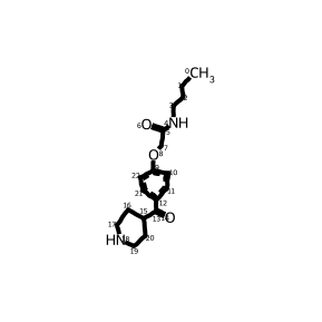 CCCCNC(=O)COc1ccc(C(=O)C2CCNCC2)cc1